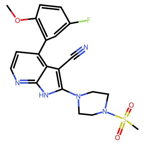 COc1ccc(F)cc1-c1ccnc2[nH]c(N3CCN(S(C)(=O)=O)CC3)c(C#N)c12